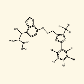 [2H]c1c([2H])c([2H])c(-c2nc(CCOc3ccc(C(O)C(OC)C(=O)OC)c4sccc34)c(C([2H])([2H])[2H])o2)c([2H])c1[2H]